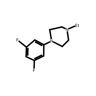 CCN1CCN(c2cc(F)cc(F)c2)CC1